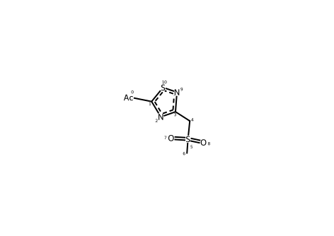 CC(=O)c1nc(CS(C)(=O)=O)ns1